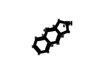 [CH]1NCc2nc3ccccc3cc21